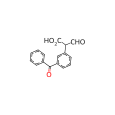 O=CC(C(=O)O)c1cccc(C(=O)c2ccccc2)c1